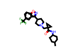 CC1CCC(NC(=O)C2(CN3CCC(c4noc5ccc(C(F)(F)F)cc45)CC3)CC2)CC1